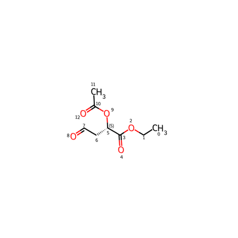 CCOC(=O)[C@H](CC=O)OC(C)=O